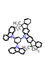 CC1(C)C2=C(CCC=C2)c2cc3c4cc5c(cc4n(C4C=C(n6c7ccccc7c7ccccc76)C=C(n6c7ccccc7c7ccccc76)C4)c3cc21)C(C)(C)c1ccccc1-5